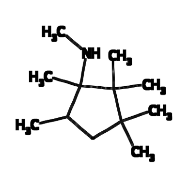 CNC1(C)C(C)CC(C)(C)C1(C)C